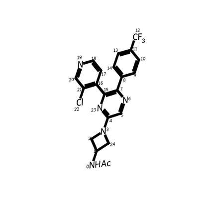 CC(=O)NC1CN(c2cnc(-c3ccc(C(F)(F)F)cc3)c(-c3ccncc3Cl)n2)C1